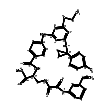 C=Cc1cccc(NC(=O)C(=O)NC[C@H](NC(=O)c2ccc(Nc3nc(NC4(c5ccc(Cl)cc5)CC4)nc(OCC(F)(F)F)n3)cc2)C(=O)OC)c1